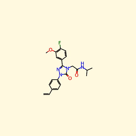 C=Cc1ccc(-n2nc(-c3ccc(F)c(OC)c3)n(CC(=O)NC(C)C)c2=O)cc1